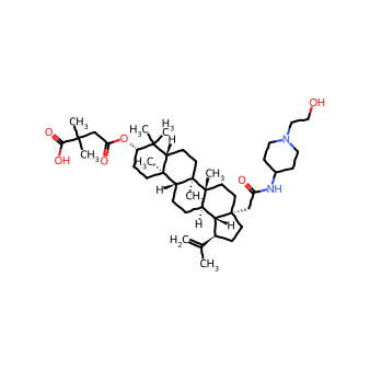 C=C(C)[C@@H]1CC[C@]2(CC(=O)NC3CCN(CCO)CC3)CC[C@]3(C)[C@H](CC[C@@H]4[C@@]5(C)CC[C@H](OC(=O)CC(C)(C)C(=O)O)C(C)(C)[C@@H]5CC[C@]43C)[C@@H]12